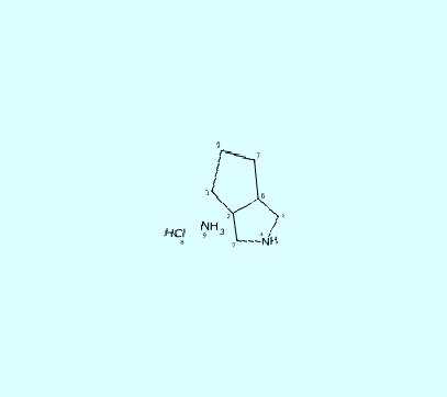 C1CC2CNCC2C1.Cl.N